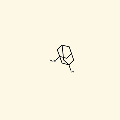 COC12CC3CC(C1)CC(C(C)C)(C3)C2